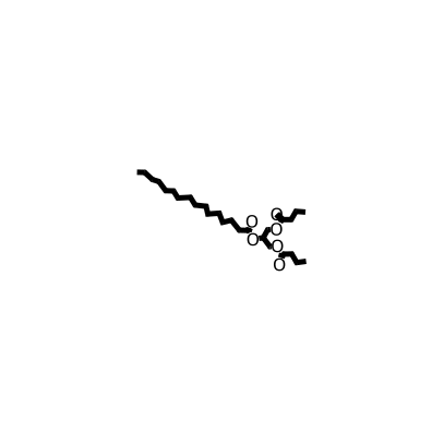 CCCCCCCCCCCCCCCC(=O)OC(COC(=O)CCC)COC(=O)CCC